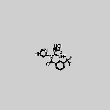 Cl.Cl.N=C(N)N(C(=O)c1cccc(C(F)(F)F)c1)c1c[nH]cn1